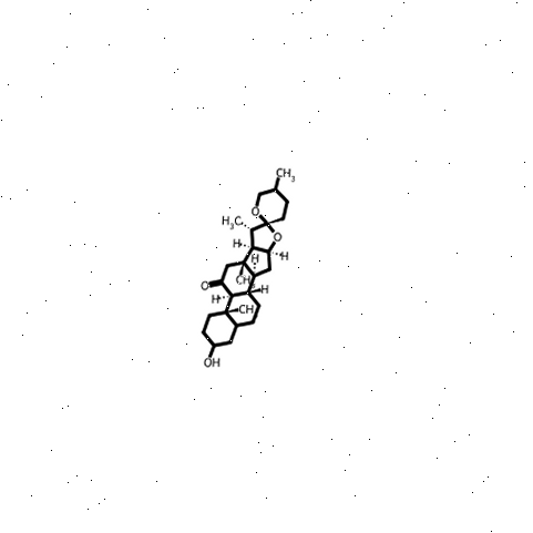 CC1CC[C@@]2(OC1)O[C@H]1C[C@H]3[C@@H]4CCC5CC(O)CC[C@]5(C)[C@H]4C(=O)C[C@]3(C)[C@H]1[C@@H]2C